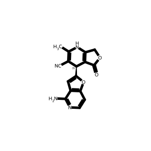 CC1=C(C#N)[C@H](c2cc3c(N)nccc3o2)C2=C(COC2=O)N1